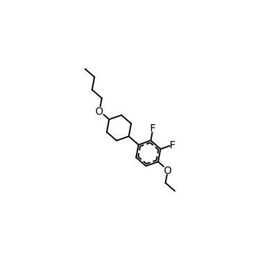 CCCCOC1CCC(c2ccc(OCC)c(F)c2F)CC1